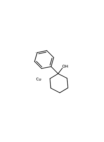 OC1(c2cc[c]cc2)CCCCC1.[Cu]